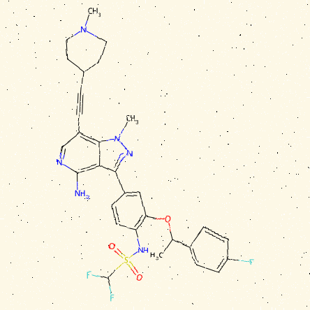 CC(Oc1cc(-c2nn(C)c3c(C#CC4CCN(C)CC4)cnc(N)c23)ccc1NS(=O)(=O)C(F)F)c1ccc(F)cc1